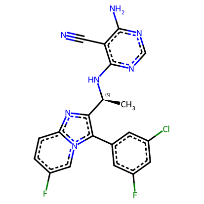 C[C@H](Nc1ncnc(N)c1C#N)c1nc2ccc(F)cn2c1-c1cc(F)cc(Cl)c1